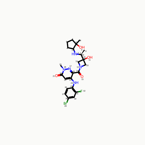 C[C@H](NC1CCCC1(C)O)C1(O)CN(C(=O)c2nn(C)c(=O)cc2Nc2ccc(Br)cc2F)C1